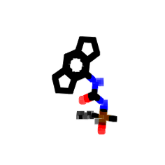 CN[S@@](C)(=O)=NC(=O)Nc1c2c(cc3c1CCC3)CCC2